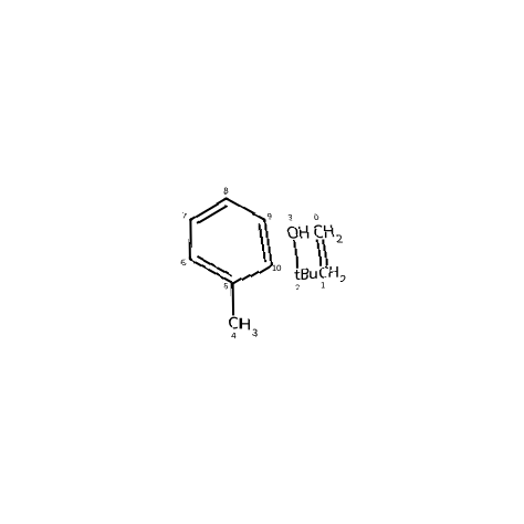 C=C.CC(C)(C)O.Cc1ccccc1